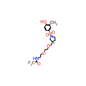 Cc1cc(S(=O)(=O)N2CC[C@@H](COCCOCCNC(=O)C(F)(F)F)C2)ccc1O